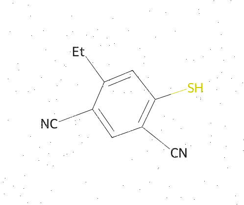 CCc1cc(S)c(C#N)cc1C#N